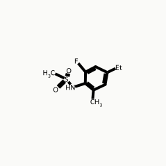 CCc1cc(C)c(NS(C)(=O)=O)c(F)c1